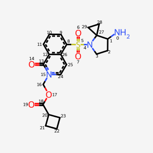 NC1CCN(S(=O)(=O)c2cccc3c(=O)n(COC(=O)C4CCC4)ccc23)C12CC2